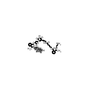 CC(N=[N+]=[N-])c1ccccc1C(=O)OC1C[C@H](n2cc(C#CCNC(=O)CCCCOC(=O)c3ccccc3C(C)SSCCN)c(=O)[nH]c2=O)O[C@@H]1COP(=O)(O)OP(=O)(O)OP(=O)(O)O